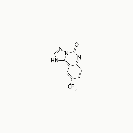 O=c1nc2ccc(C(F)(F)F)cc2c2[nH]cnn12